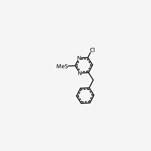 CSc1nc(Cl)cc(Cc2ccccc2)n1